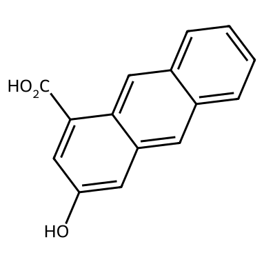 O=C(O)c1cc(O)cc2cc3ccccc3cc12